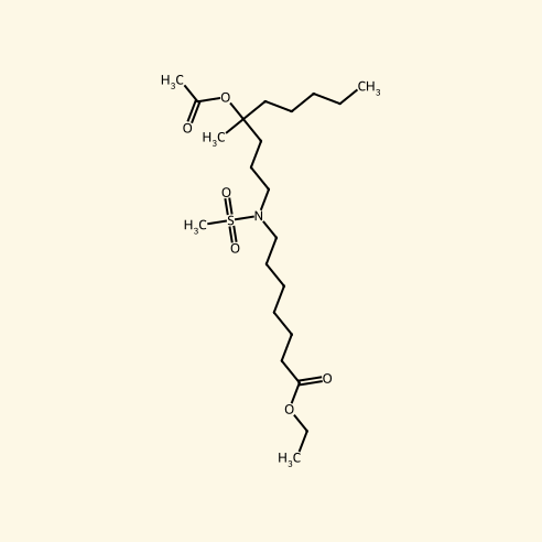 CCCCCC(C)(CCCN(CCCCCCC(=O)OCC)S(C)(=O)=O)OC(C)=O